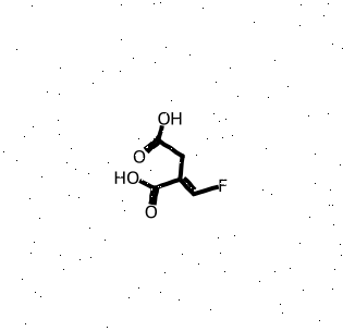 O=C(O)C/C(=C\F)C(=O)O